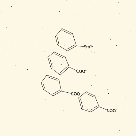 O=C([O-])c1ccccc1.O=C([O-])c1ccccc1.O=C([O-])c1ccccc1.[Sm+3][c]1ccccc1